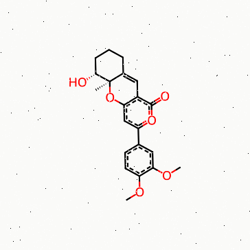 COc1ccc(-c2cc3c(c(=O)o2)C=C2CCC[C@@H](O)[C@]2(C)O3)cc1OC